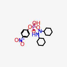 O=[N+]([O-])c1ccc(OP(=O)(O)ON(NC2CCCCC2)C2CCCCC2)cc1